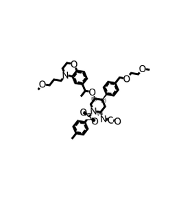 COCCCN1CCOc2ccc(C(C)O[C@H]3CN(S(=O)(=O)c4ccc(C)cc4)[C@@H](N=C=O)C[C@@H]3c3ccc(COCCOC)cc3)cc21